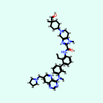 CCc1c(NC(=O)c2nc3c(n2C)CCN(C2CCC(C)(C=O)CC2)C3)cccc1-c1cccc(N(C)c2ncnc3cc(CN4CCCC4)cnc23)c1C